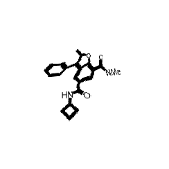 CNC(=O)c1cc(C(=O)NC2CCC2)cc2c1OC(C)C2c1ccccc1